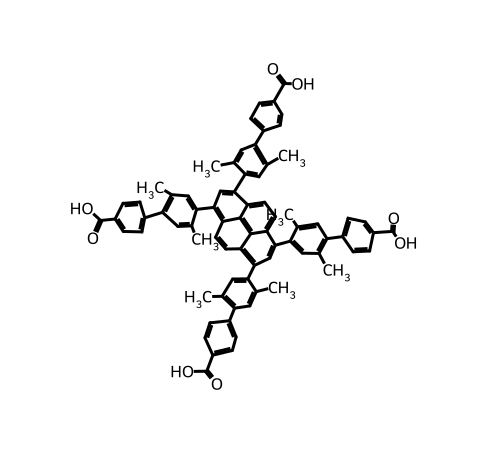 Cc1cc(-c2cc(-c3cc(C)c(-c4ccc(C(=O)O)cc4)cc3C)c3ccc4c(-c5cc(C)c(-c6ccc(C(=O)O)cc6)cc5C)cc(-c5cc(C)c(-c6ccc(C(=O)O)cc6)cc5C)c5ccc2c3c54)c(C)cc1-c1ccc(C(=O)O)cc1